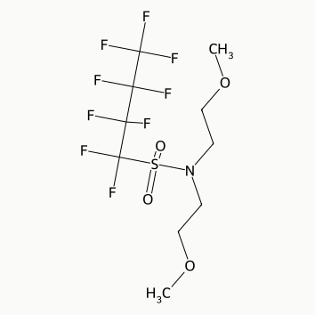 COCCN(CCOC)S(=O)(=O)C(F)(F)C(F)(F)C(F)(F)C(F)(F)F